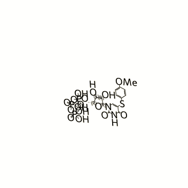 COc1ccc(Sc2cn([C@@H]3O[C@H](COP(=O)(O)OP(=O)(O)OP(=O)(O)O)[C@@H](O)[C@H]3O)c(=O)[nH]c2=O)cc1